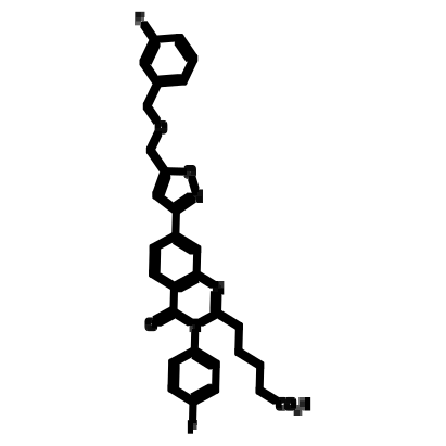 O=C(O)CCCCc1nc2cc(-c3cc(COCc4cccc(F)c4)on3)ccc2c(=O)n1-c1ccc(F)cc1